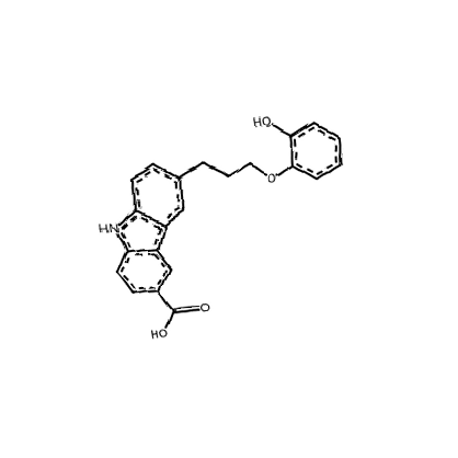 O=C(O)c1ccc2[nH]c3ccc(CCCOc4ccccc4O)cc3c2c1